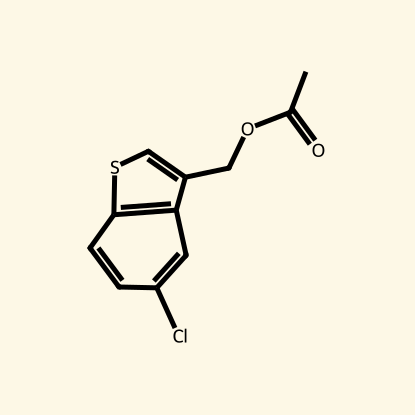 CC(=O)OCc1csc2ccc(Cl)cc12